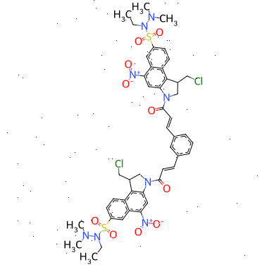 CCN(N(C)C)S(=O)(=O)c1ccc2c3c(cc([N+](=O)[O-])c2c1)N(C(=O)C=Cc1cccc(C=CC(=O)N2CC(CCl)c4c2cc([N+](=O)[O-])c2cc(S(=O)(=O)N(CC)N(C)C)ccc42)c1)CC3CCl